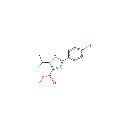 COC(=O)c1nc(-c2ccc(Cl)cc2)oc1C(C)C